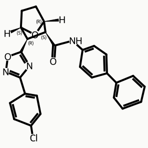 O=C(Nc1ccc(-c2ccccc2)cc1)[C@H]1[C@@H](c2nc(-c3ccc(Cl)cc3)no2)[C@@H]2CC[C@H]1O2